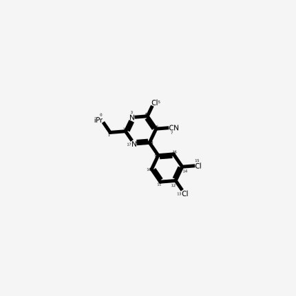 CC(C)Cc1nc(Cl)c(C#N)c(-c2ccc(Cl)c(Cl)c2)n1